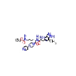 Cc1cc(C[C@@H](N)C(=O)N[C@@H](CCCCNC(=O)OC(C)(C)C)C(=O)N2CCN(c3ccncc3)CC2)cc2cn[nH]c12